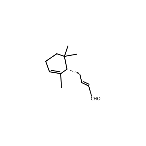 CC1=CCCC(C)(C)[C@@H]1CC=CC=O